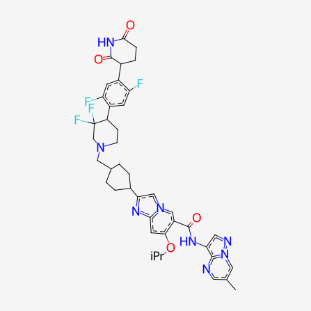 Cc1cnc2c(NC(=O)c3cn4cc(C5CCC(CN6CCC(c7cc(F)c(C8CCC(=O)NC8=O)cc7F)C(F)(F)C6)CC5)nc4cc3OC(C)C)cnn2c1